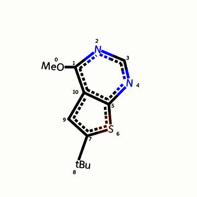 COc1ncnc2sc(C(C)(C)C)cc12